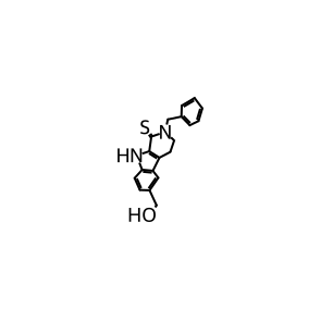 OCc1ccc2[nH]c3c(c2c1)CCN(Cc1ccccc1)C3=S